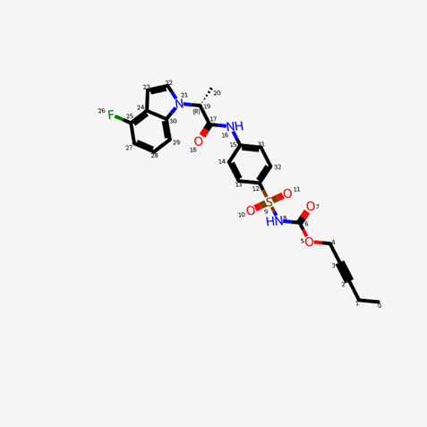 CCC#CCOC(=O)NS(=O)(=O)c1ccc(NC(=O)[C@@H](C)n2ccc3c(F)cccc32)cc1